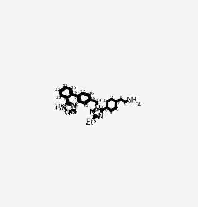 CCc1nc(C2CCC(CCN)CC2)n(Cc2ccc(-c3ccccc3-c3nnn[nH]3)cc2)n1